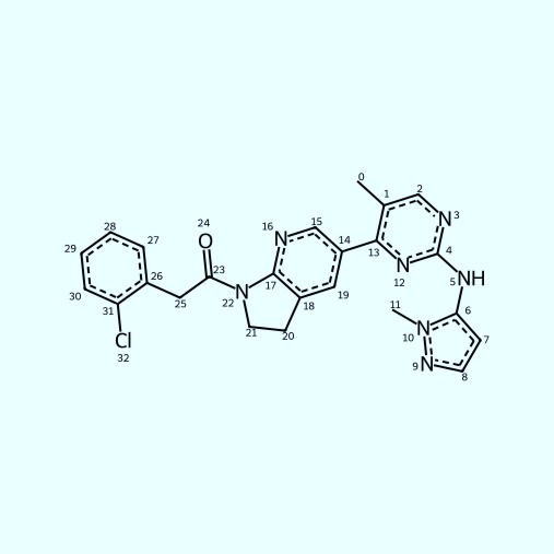 Cc1cnc(Nc2ccnn2C)nc1-c1cnc2c(c1)CCN2C(=O)Cc1ccccc1Cl